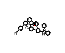 N#Cc1ccc(-c2cccc3c2Oc2ccc(-c4ccc(-c5nc6ccccc6n5-c5ccccc5)cc4-c4ccccc4)cc2C32c3ccccc3C3C=CC=CC32)cc1